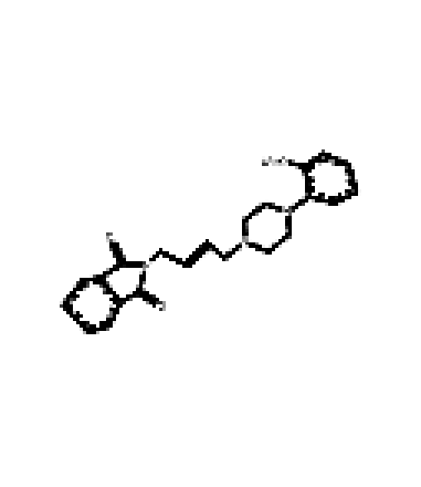 COc1ccccc1N1CCN(CC=CCN2C(=O)c3ccccc3C2=O)CC1